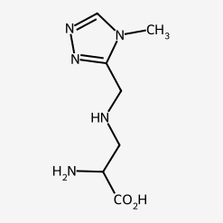 Cn1cnnc1CNCC(N)C(=O)O